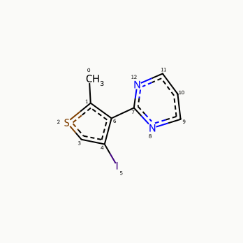 Cc1scc(I)c1-c1ncccn1